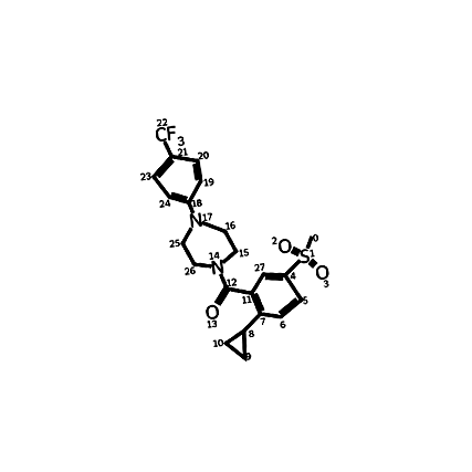 CS(=O)(=O)c1ccc(C2CC2)c(C(=O)N2CCN(c3ccc(C(F)(F)F)cc3)CC2)c1